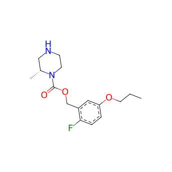 CCCOc1ccc(F)c(COC(=O)N2CCNC[C@H]2C)c1